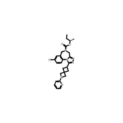 CC[C@@H](C)OC(=O)N1Cc2cc(Cl)ccc2-n2c(nnc2C2CC3(C2)CN(c2ccccn2)C3)C1